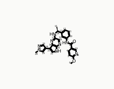 COc1ccc(C(=O)Nc2cccc([C@H](C)Nc3cnc4[nH]cc(-c5cnn(C)c5)c4n3)c2)cn1